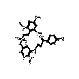 COc1cc(OC)c(C=CS(=O)(=O)Cc2cnc(OC)c(NC=CC(=O)c3ccc(Cl)cc3)c2)c(OC)c1